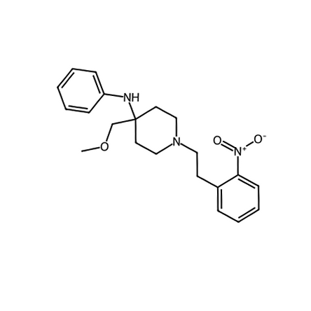 COCC1(Nc2ccccc2)CCN(CCc2ccccc2[N+](=O)[O-])CC1